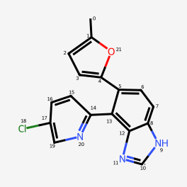 Cc1ccc(-c2ccc3[nH][c]nc3c2-c2ccc(Cl)cn2)o1